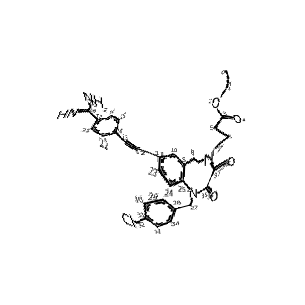 CCOC(=O)CCN1Cc2cc(C#Cc3ccc(C(=N)N)cc3)ccc2N(Cc2ccc(Cl)cc2)C(=O)C1=O